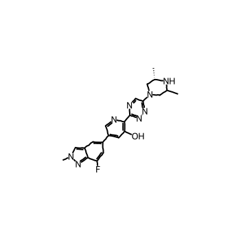 CC1CN(c2cnc(-c3ncc(-c4cc(F)c5nn(C)cc5c4)cc3O)nn2)C[C@H](C)N1